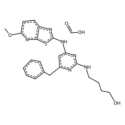 COc1ccc2nc(Nc3cc(Cc4ccccc4)nc(NCCCCO)n3)sc2n1.O=CO